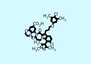 Cc1cc(OCCCc2c3n(c4c(-c5c(C)nn(C)c5C)c(Cl)ccc24)CCCN(c2cc(C(=O)O)cc4c2N(C)CCO4)C3=O)cc(C)c1Cl